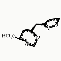 O=C(O)c1cc(Cc2ccon2)ncn1